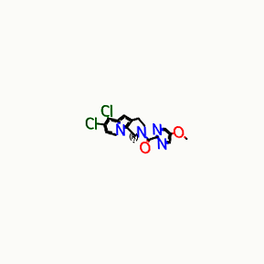 COc1cnc(C(=O)N2CCc3cc4c(Cl)c(Cl)ccn4c3[C@H]2C)nc1